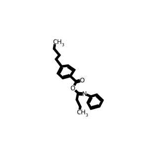 CCCCc1ccc(C(=O)OC(CCC)=Nc2ccccc2)cc1